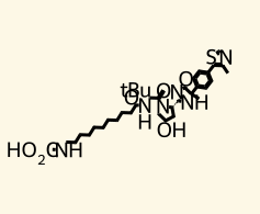 Cc1ncsc1-c1ccc(C2(C)NC([C@@H]3C[C@@H](O)CN3C(=O)C(NC(=O)CCCCCCCCCCNC(=O)O)C(C)(C)C)=NC2=O)cc1